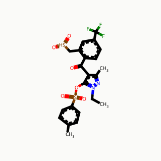 CCn1nc(C)c(C(=O)c2ccc(C(F)(F)F)cc2C[SH](=O)=O)c1OS(=O)(=O)c1ccc(C)cc1